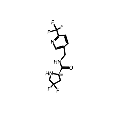 O=C(NCc1ccc(C(F)(F)F)nc1)[C@H]1CC(F)(F)CN1